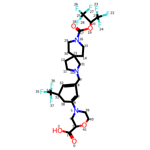 O=C(O)C1CN(C2=CC(CN3CCC4(CCN(C(=O)OC(C(F)(F)F)C(F)(F)F)CC4)C3)=CC(C(F)(F)F)C2)CCO1